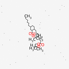 CCCCCCC1CCC(CCCCCCCC(=O)OOC(C)(C)C)C(C(=O)OOC(C)(C)C)C1